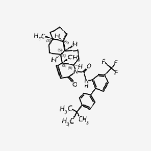 CC(C)(C)c1ccc(-c2ccc(C(F)(F)F)cc2NC(=O)N2C(=O)C=C[C@]3(C)[C@H]4CC[C@]5(C)CCC[C@H]5[C@@H]4CC[C@@H]23)cc1